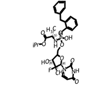 CC(C)OC(=O)[C@H](C)N[PH](O)(OCC1O[C@@H](n2ccc(=O)[nH]c2=O)[C@](C)(F)[C@@H]1O)Oc1ccccc1Cc1ccccc1